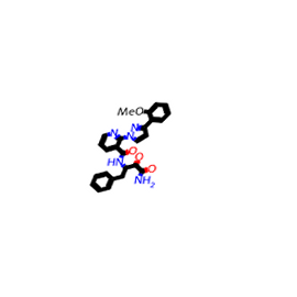 COc1ccccc1-c1ccn(-c2ncccc2C(=O)NC(Cc2ccccc2)C(=O)C(N)=O)n1